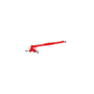 COCCOCCOCCOCCOCCOCCOCCOCCOCCOCCOCCOCCOCCOCCOCCOCCOCCOCCOCCOCCOCCOCCOC(=O)C(C)Oc1ccc(-c2nc(-c3ccc(OC)cc3)nc(-c3ccc(OC(C)C(C)=O)cc3O)n2)c(O)c1